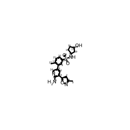 Cc1cc(-c2cc(-c3cc(S(=O)(=O)N[C@@H]4CC[C@@H](O)C4)ccc3C)cnc2N)on1